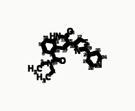 CCN(CC)C(=O)c1cccc2[nH]c(=O)c(-c3csc(-c4ccncc4)n3)cc12